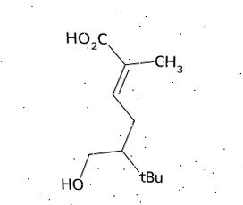 C/C(=C\CC(CO)C(C)(C)C)C(=O)O